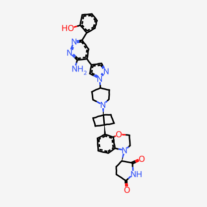 Nc1nnc(-c2ccccc2O)cc1-c1cnn(C2CCN([C@]34CC[C@@]3(c3cccc5c3OCCN5[C@@H]3CCC(=O)NC3=O)CC4)CC2)c1